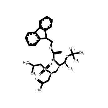 CC(C)CS(=O)(=O)N(CC(=O)O)C[C@@H](NC(=O)OCC1c2ccccc2-c2ccccc21)[C@H](C)OC(C)(C)C